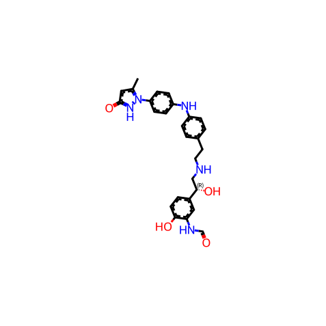 Cc1cc(=O)[nH]n1-c1ccc(Nc2ccc(CCNC[C@H](O)c3ccc(O)c(NC=O)c3)cc2)cc1